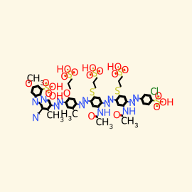 COc1cc(S(=O)(=O)O)c2c(c1)nc1c(C#N)c(C)c(N=Nc3cc(C)c(N=Nc4cc(NC(C)=O)c(N=Nc5cc(NC(C)=O)c(N=Nc6ccc(S(=O)(=O)O)c(Cl)c6)cc5SCCCS(=O)(=O)O)cc4SCCCS(=O)(=O)O)cc3OCCCS(=O)(=O)O)c(O)n12